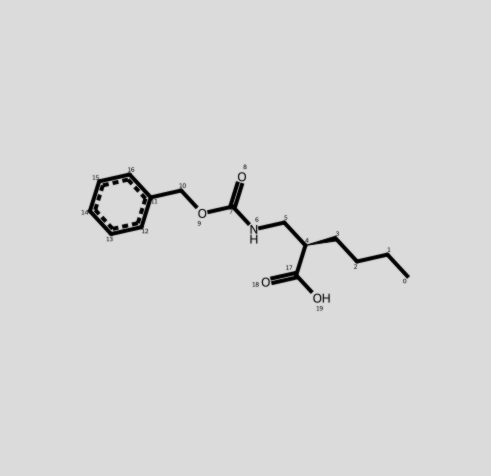 CCCC[C@H](CNC(=O)OCc1ccccc1)C(=O)O